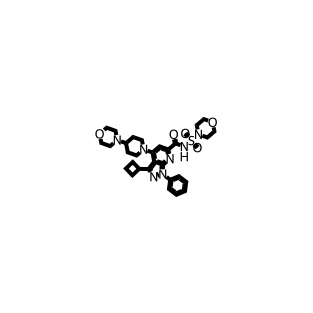 O=C(NS(=O)(=O)N1CCOCC1)c1cc(N2CCC(N3CCOCC3)CC2)c2c(C3CCC3)nn(-c3ccccc3)c2n1